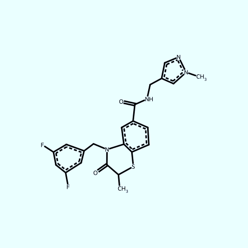 CC1Sc2ccc(C(=O)NCc3cnn(C)c3)cc2N(Cc2cc(F)cc(F)c2)C1=O